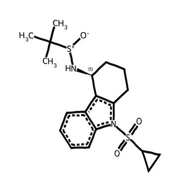 CC(C)(C)[S+]([O-])N[C@H]1CCCc2c1c1ccccc1n2S(=O)(=O)C1CC1